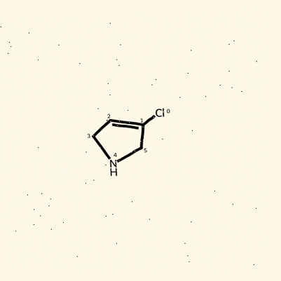 ClC1=[C]CNC1